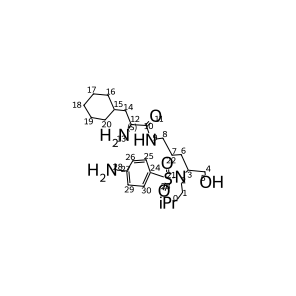 CC(C)CN(C(CO)CCCNC(=O)[C@@H](N)CC1CCCCC1)S(=O)(=O)c1ccc(N)cc1